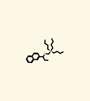 CCC[CH2][Sn]([CH2]CCC)([CH2]CCC)[CH2]OC(CC)c1ccc2ccccc2c1